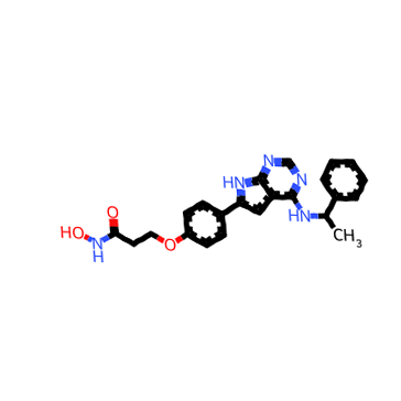 CC(Nc1ncnc2[nH]c(-c3ccc(OCCC(=O)NO)cc3)cc12)c1ccccc1